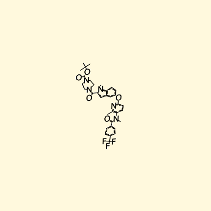 Cc1nc(Oc2ccc3c(c2)cc(C(=O)N2CCN(C(=O)OC(C)(C)C)CC2)n3C)ccc1N(C)C(=O)c1ccc(C(F)(F)F)cc1